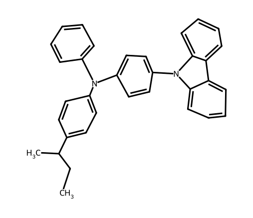 CCC(C)c1ccc(N(c2ccccc2)c2ccc(-n3c4ccccc4c4ccccc43)cc2)cc1